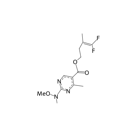 CON(C)c1ncc(C(=O)OCCC(C)=C(F)F)c(C)n1